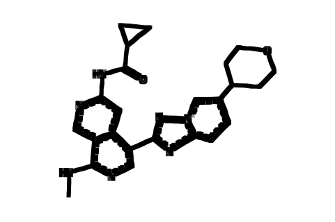 CNc1ncc(-c2nc3ccc(C4CCOCC4)cn3n2)c2cc(NC(=O)C3CC3)ncc12